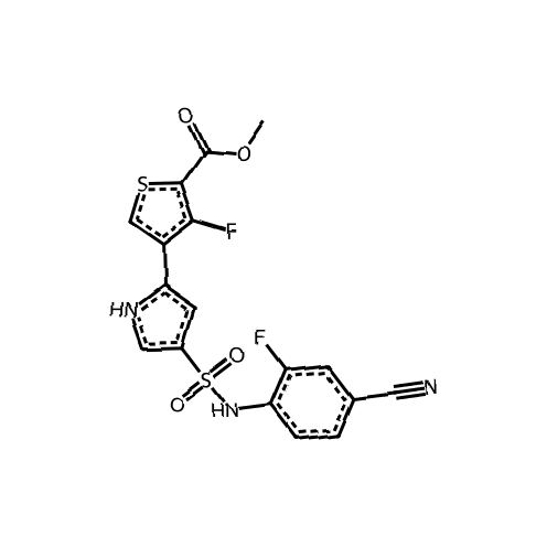 COC(=O)c1scc(-c2cc(S(=O)(=O)Nc3ccc(C#N)cc3F)c[nH]2)c1F